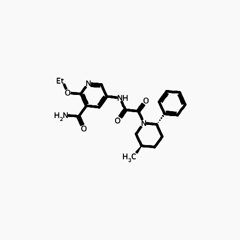 CCOc1ncc(NC(=O)C(=O)N2C[C@H](C)CC[C@H]2c2ccccc2)cc1C(N)=O